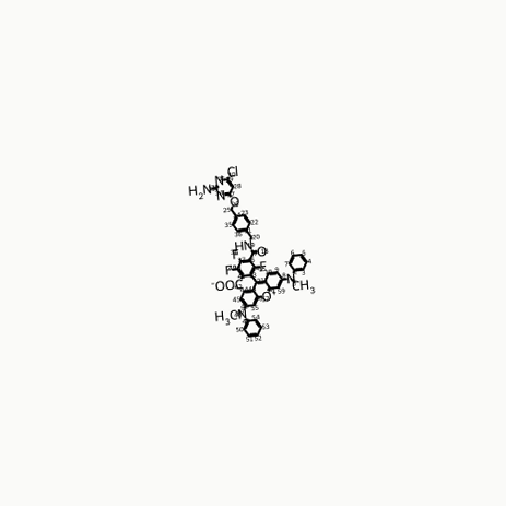 CN(c1ccccc1)c1ccc2c(-c3c(F)c(C(=O)NCc4ccc(COc5cc(Cl)nc(N)n5)cc4)c(F)c(F)c3C(=O)[O-])c3ccc(N(C)c4ccccc4)cc3[o+]c2c1